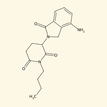 CCCCN1C(=O)CCC(N2Cc3c(N)cccc3C2=O)C1=O